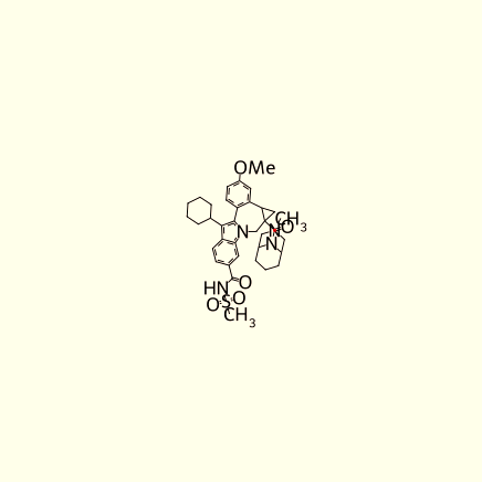 COc1ccc2c(c1)C1CC1(C(=O)N1C3CCCC1CN(C)C3)Cn1c-2c(C2CCCCC2)c2ccc(C(=O)NS(C)(=O)=O)cc21